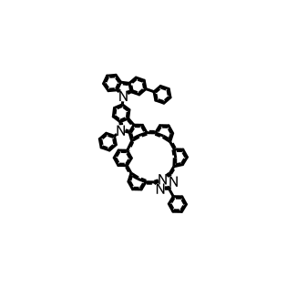 c1ccc(-c2ccc3c4ccccc4n(-c4ccc5c(c4)c4cc6cc(c7cccc(c7)c7cccc(c7)c7nc(-c8ccccc8)nc(n7)c7cccc(c7)c7cccc6c7)c4n5-c4ccccc4)c3c2)cc1